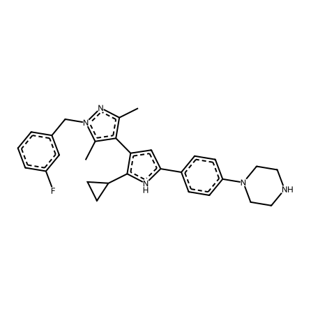 Cc1nn(Cc2cccc(F)c2)c(C)c1-c1cc(-c2ccc(N3CCNCC3)cc2)[nH]c1C1CC1